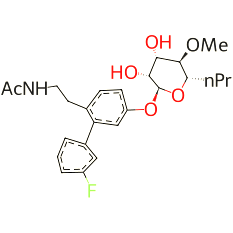 CCC[C@@H]1O[C@@H](Oc2ccc(CCNC(C)=O)c(-c3cccc(F)c3)c2)[C@H](O)[C@H](O)[C@H]1OC